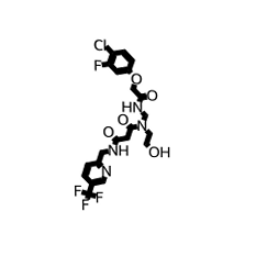 O=C(COc1ccc(Cl)c(F)c1)NCN(CCO)C(=O)CC(=O)NCc1ccc(C(F)(F)F)cn1